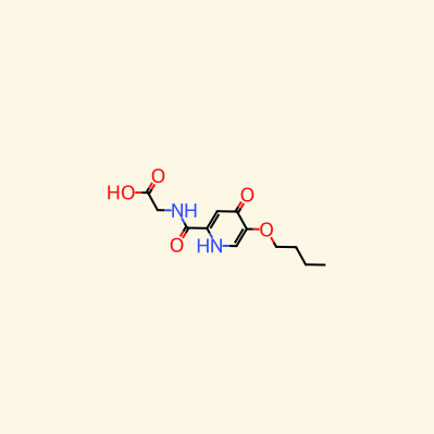 CCCCOc1c[nH]c(C(=O)NCC(=O)O)cc1=O